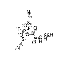 N#CSOP(F)(F)(OSC#N)OC(=O)C(=O)O.[KH].[KH]